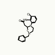 O=C1CC2CN(Cc3ccccc3)CCN2c2cccc(Cl)c2N1